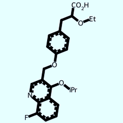 CCOC(Cc1ccc(OCc2cnc3c(F)cccc3c2OC(C)C)cc1)C(=O)O